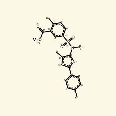 CCN(c1nc(-c2ccc(C)cc2)sc1C)S(=O)(=O)c1ccc(C)c(C(=O)OC)c1